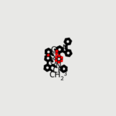 C=Cc1cccc(-c2cccc3c2Oc2ccccc2[Si]32c3ccccc3Oc3ccccc32)c1/C=C(\C)N(c1ccccc1)c1ccc(-c2cccc3c2c2ccccc2n3-c2ccccc2)cc1